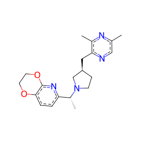 Cc1cnc(C[C@H]2CCN([C@H](C)c3ccc4c(n3)OCCO4)C2)c(C)n1